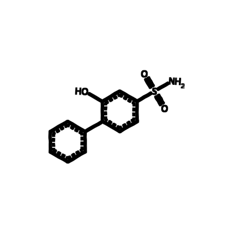 NS(=O)(=O)c1ccc(-c2ccccc2)c(O)c1